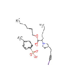 CCCCCCOC(=O)C(CCCC)N1CCC(CC#CI)C1.Cc1ccc(S(=O)(=O)O)cc1